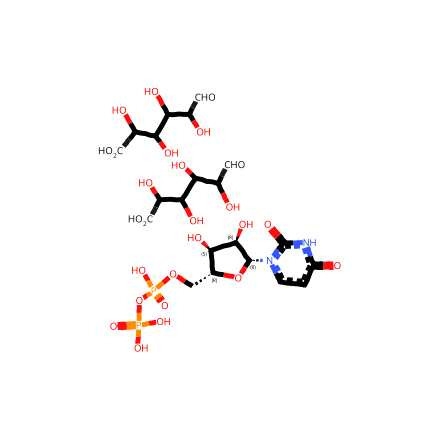 O=CC(O)C(O)C(O)C(O)C(=O)O.O=CC(O)C(O)C(O)C(O)C(=O)O.O=c1ccn([C@@H]2O[C@H](COP(=O)(O)OP(=O)(O)O)[C@@H](O)[C@H]2O)c(=O)[nH]1